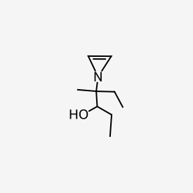 CCC(O)C(C)(CC)N1C=C1